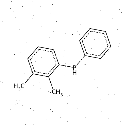 Cc1cccc(Pc2ccccc2)c1C